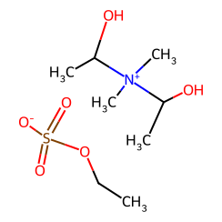 CC(O)[N+](C)(C)C(C)O.CCOS(=O)(=O)[O-]